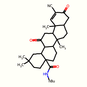 CCCCNC(=O)C12CCC3C(C(=O)CC4C5(C)C=C(C#N)C(=O)CC5CCC34C)C1CC(C)(C)CC2